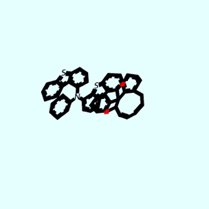 CC1/C=C\C=C/Cc2ccccc2C1(c1ccccc1)c1cccc2sc3c(N(c4ccccc4)c4cccc5sc6ccccc6c45)cccc3c12